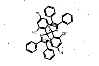 N#Cc1cc(C#N)c(C2(C3(c4c(C#N)cc(C#N)cc4C#N)N=C(c4ccccc4)C(c4ccccc4)=N3)N=C(c3ccccc3)C(c3ccccc3)=N2)c(C#N)c1